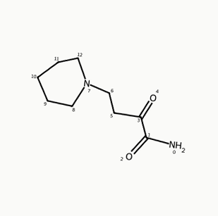 NC(=O)C(=O)CCN1CCCCC1